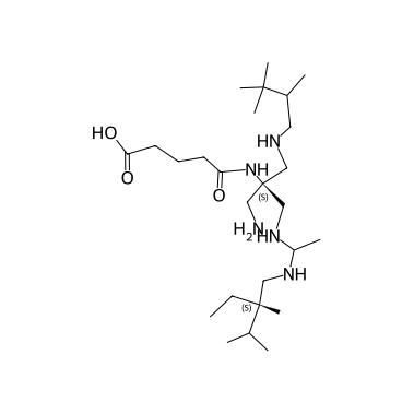 CC[C@](C)(CNC(C)NC[C@](CN)(CNCC(C)C(C)(C)C)NC(=O)CCCC(=O)O)C(C)C